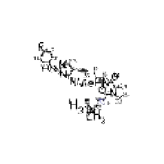 CNc1nc(Nc2ccc(F)cc2)ncc1C#CCCCNC(=O)C1CCCN1C(=O)/C=C/CN(C)C